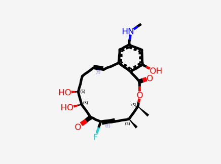 CNc1cc(O)c2c(c1)/C=C/C[C@H](O)[C@H](O)C(=O)/C(F)=C\[C@H](C)[C@H](C)OC2=O